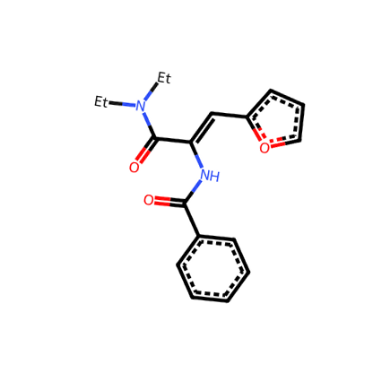 CCN(CC)C(=O)/C(=C/c1ccco1)NC(=O)c1ccccc1